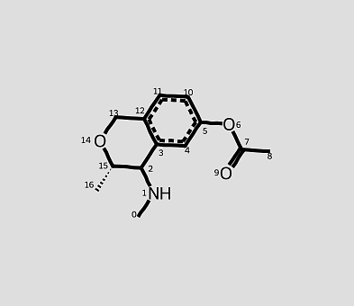 CNC1c2cc(OC(C)=O)ccc2CO[C@H]1C